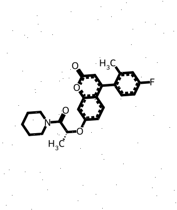 Cc1cc(F)ccc1-c1cc(=O)oc2cc(O[C@H](C)C(=O)N3CCCCC3)ccc12